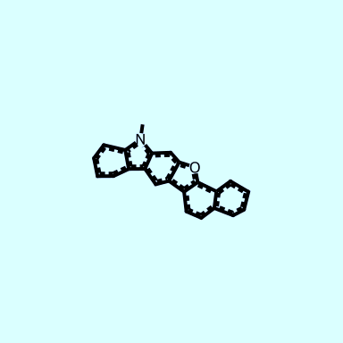 Cn1c2ccccc2c2cc3c(cc21)oc1c2ccccc2ccc31